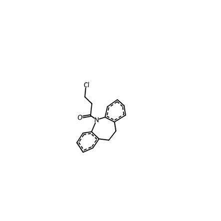 O=C(CCCl)N1c2ccccc2CCc2ccccc21